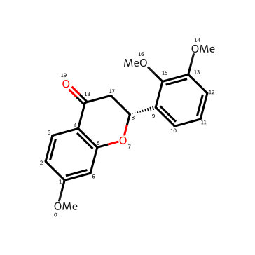 COc1ccc2c(c1)O[C@@H](c1cccc(OC)c1OC)CC2=O